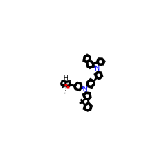 C[C@H]1CC2C[C@H]3CC(c4ccc(N(c5ccc(-c6cccc(-n7c8ccccc8c8c9ccccc9ccc87)c6)cc5)c5ccc6c(c5)C(C)(C)c5ccccc5-6)cc4)(CC23)C1